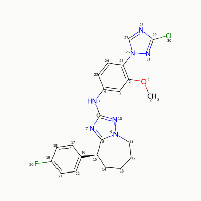 COc1cc(Nc2nc3n(n2)CCCC[C@H]3c2ccc(F)cc2)ccc1-n1cnc(Cl)n1